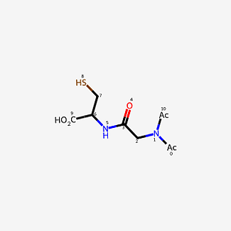 CC(=O)N(CC(=O)NC(CS)C(=O)O)C(C)=O